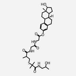 CC(O)CNC(=O)C(C)(C)SCC(C)C(=O)NCC(=O)NCC(=O)Oc1ccc2c(c1)CC[C@@H]1C2CC[C@@]2(C)C1CC[C@@H]2O